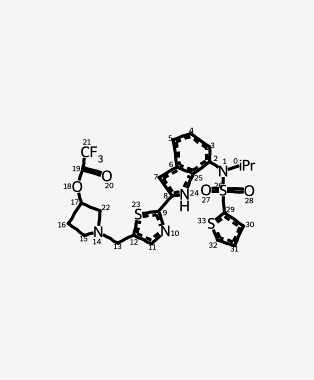 CC(C)N(c1cccc2cc(-c3ncc(CN4CCC(OC(=O)C(F)(F)F)C4)s3)[nH]c12)S(=O)(=O)c1cccs1